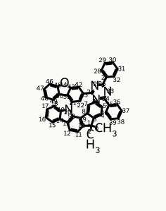 CC1(C)c2ccccc2-c2c1ccc1c3ccccc3n(-c3cc(-c4nc(-c5ccccc5)nc(-c5ccccc5)n4)cc4oc5ccccc5c34)c21